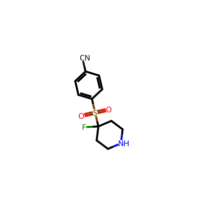 N#Cc1ccc(S(=O)(=O)C2(F)CCNCC2)cc1